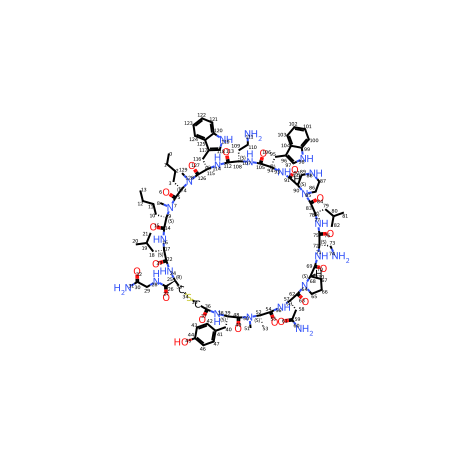 CCCC[C@H]1C(=O)N(C)[C@@H](CCCC)C(=O)N[C@@H](CC(C)C)C(=O)N[C@H](C(=O)NCC(N)=O)CSCC(=O)N[C@@H](Cc2ccc(O)cc2)C(=O)N(C)[C@@H](C)C(=O)N[C@@H](CC(N)=O)C(=O)N2CCC[C@H]2C(=O)N[C@@H](CN)C(=O)N[C@@H](CC(C)C)C(=O)N2CCNC[C@H]2C(=O)N[C@@H](Cc2c[nH]c3ccccc23)C(=O)N[C@@H](CCN)C(=O)N[C@@H](Cc2c[nH]c3ccccc23)C(=O)N1C